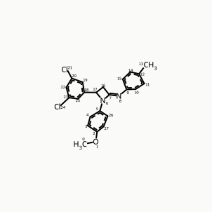 COc1ccc(N2/C(=N/c3ccc(C)cc3)CC2c2cc(Cl)cc(Cl)c2)cc1